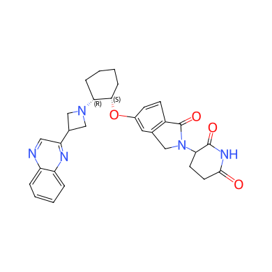 O=C1CCC(N2Cc3cc(O[C@H]4CCCC[C@H]4N4CC(c5cnc6ccccc6n5)C4)ccc3C2=O)C(=O)N1